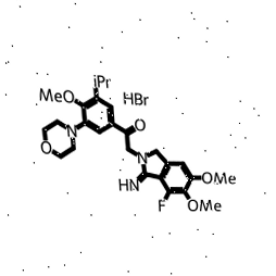 Br.COc1cc2c(c(F)c1OC)C(=N)N(CC(=O)c1cc(C(C)C)c(OC)c(N3CCOCC3)c1)C2